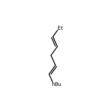 [CH2]CCCC=CCC=CCC